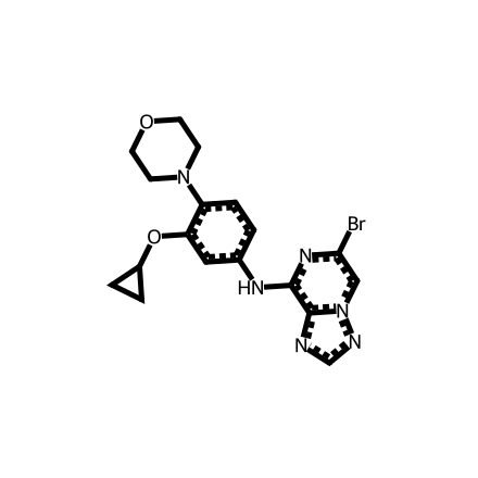 Brc1cn2ncnc2c(Nc2ccc(N3CCOCC3)c(OC3CC3)c2)n1